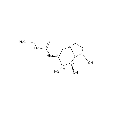 CCNC(=O)N[C@H]1CN2CCC(O)C2[C@@H](O)[C@@H]1O